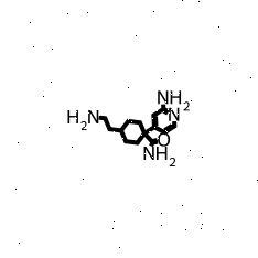 NCCC1CCC(C(N)=O)(c2ccnc(N)c2)CC1